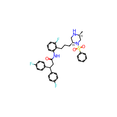 C[C@H]1CN(S(=O)(=O)c2ccccc2)[C@@H](CCCc2c(F)cccc2NC(=O)CC(c2ccc(F)cc2)c2ccc(F)cc2)CN1